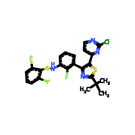 CC(C)(C)c1nc(-c2cccc(NSc3c(F)cccc3F)c2F)c(-c2ccnc(Cl)n2)s1